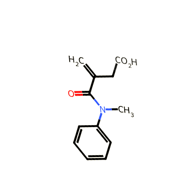 C=C(CC(=O)O)C(=O)N(C)c1ccccc1